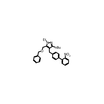 CCCCc1nn(CC)c(COCc2ccccc2)c1Cc1ccc(-c2ccccc2[N+](=O)[O-])cc1